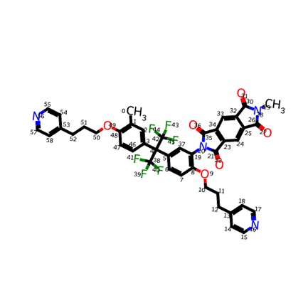 Cc1cc(C(c2ccc(OCCCc3ccncc3)c(-n3c(=O)c4cc5c(=O)n(C)c(=O)c5cc4c3=O)c2)(C(F)(F)F)C(F)(F)F)ccc1OCCCc1ccncc1